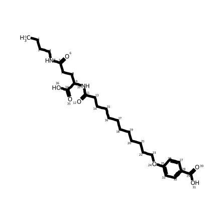 CCCCNC(=O)CCC(NC(=O)CCCCCCCCCCCOc1ccc(C(=O)O)cc1)C(=O)O